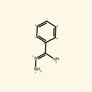 CCC/C(=N\N)c1ccccc1